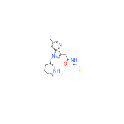 Cc1cnc2c(CC(=O)NCCF)cn(CC3=CNN=CCC3)c2c1